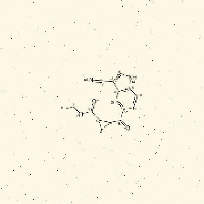 CCOC(=O)C1CC1C(=O)c1ccc2[nH]cc(C#N)c2c1